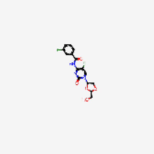 O=C(Nc1nc(=O)n(C2COC(CO)O2)cc1F)c1cccc(F)c1